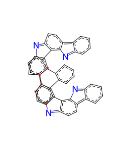 c1ccc(-c2ccc3c(c2-c2ccccc2-c2c(-c4ccccc4)ccc4c2-c2c5c(ccc2=N4)=c2ccccc2=N5)-c2c4c(ccc2=N3)=c2ccccc2=N4)cc1